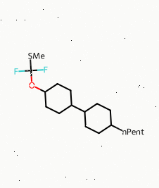 CCCCCC1CCC(C2CCC(OC(F)(F)SC)CC2)CC1